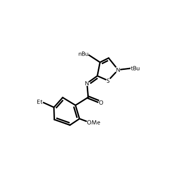 CCCCc1cn(C(C)(C)C)s/c1=N\C(=O)c1cc(CC)ccc1OC